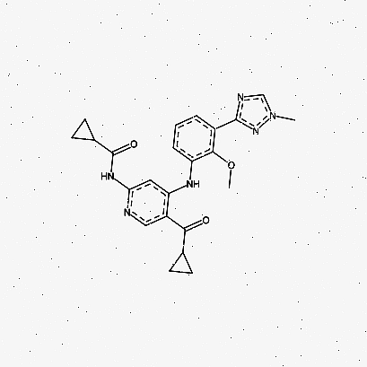 COc1c(Nc2cc(NC(=O)C3CC3)ncc2C(=O)C2CC2)cccc1-c1ncn(C)n1